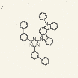 c1ccc(-c2cccc(-c3nc(-c4cccc(-c5ccccc5)c4)nc(-n4c5ccccc5c5c6c7ccccc7n(-c7ccccc7)c6ccc54)n3)c2)cc1